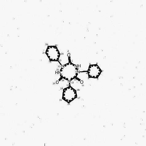 O=c1[nH]n(-c2ccccc2)c(=O)n(-c2ccccc2)c(=O)[nH]n1-c1ccccc1